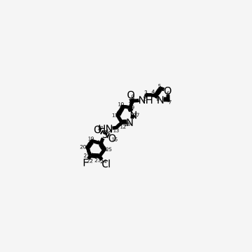 O=C(NCc1cocn1)c1ccc(CNS(=O)(=O)c2ccc(F)c(Cl)c2)nn1